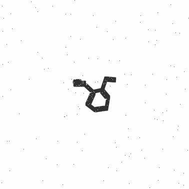 C=Cc1ccccc1C(C)(C)C